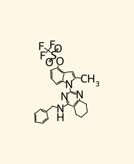 Cc1cc2c(OS(=O)(=O)C(F)(F)F)cccc2n1-c1nc2c(c(NCc3ccccc3)n1)CCCC2